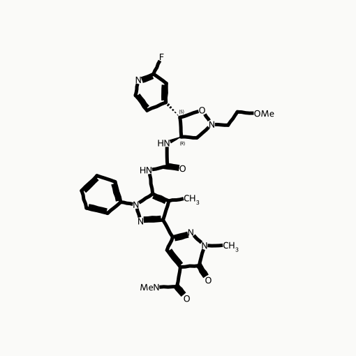 CNC(=O)c1cc(-c2nn(-c3ccccc3)c(NC(=O)N[C@@H]3CN(CCOC)O[C@H]3c3ccnc(F)c3)c2C)nn(C)c1=O